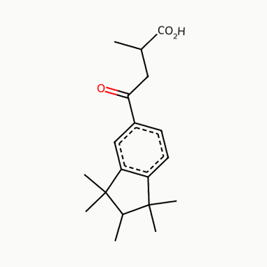 CC(CC(=O)c1ccc2c(c1)C(C)(C)C(C)C2(C)C)C(=O)O